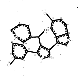 OC(c1cccnc1)c1c(-c2csc3ccc(Cl)cc23)noc1-c1cccc(Cl)c1